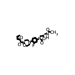 CC(=O)NC[C@H]1CN(c2ccc(N3CCON(C(=O)c4ccco4)CC3)c(F)c2)C(=O)O1